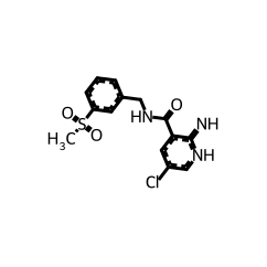 CS(=O)(=O)c1cccc(CNC(=O)c2cc(Cl)c[nH]c2=N)c1